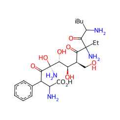 CCC(C)C(N)C(=O)C(N)(CC)C(=O)[C@@H](CO)[C@@H](O)[C@@H](O)[C@](N)(O)C(=O)C(c1ccccc1)C(N)C(=O)O